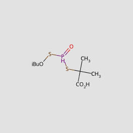 CC(C)COS[PH](=O)SC(C)(C)C(=O)O